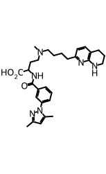 Cc1cc(C)n(-c2cccc(C(=O)NC(CCN(C)CCCCc3ccc4c(n3)NCCC4)C(=O)O)c2)n1